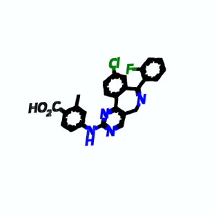 Cc1cc(Nc2ncc3c(n2)-c2ccc(Cl)cc2C(c2ccccc2F)=NC3)ccc1C(=O)O